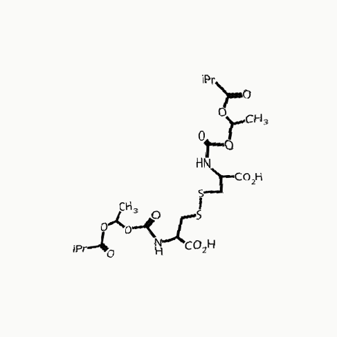 CC(OC(=O)NC(CSSCC(NC(=O)OC(C)OC(=O)C(C)C)C(=O)O)C(=O)O)OC(=O)C(C)C